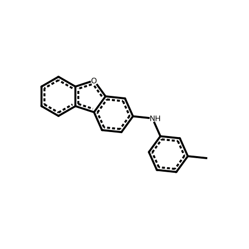 Cc1cccc(Nc2ccc3c(c2)oc2ccccc23)c1